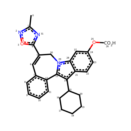 Cc1noc(C2=Cc3ccccc3-c3c(C4CCCCC4)c4ccc(OC(=O)O)cc4n3C2)n1